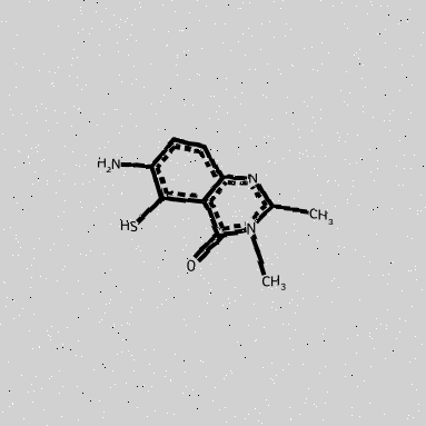 Cc1nc2ccc(N)c(S)c2c(=O)n1C